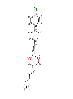 CCC/C=C/C1COC(C#Cc2ccc(-c3ccc(Cl)cc3)cc2)OC1